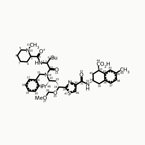 CCC(C)C(NC(=O)C1CCCCN1C)C(=O)N(Cc1ccccc1)[C@H](C[C@@H](OCOC)c1nc(C(=O)N[C@H]2Cc3ccc(C)cc3[C@H](C(=O)O)C2)cs1)C(C)C